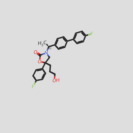 C[C@@H](c1ccc(-c2ccc(F)cc2)cc1)N1CC(CCCO)(C2=CCC(F)C=C2)OC1=O